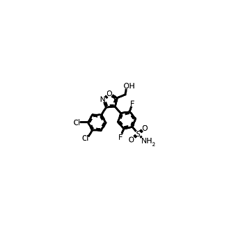 NS(=O)(=O)c1cc(F)c(-c2c(-c3ccc(Cl)c(Cl)c3)noc2CO)cc1F